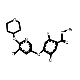 CC(C)(C)OC(=O)c1cc(Cl)c(Oc2cnc(OC3CCOCC3)c(Cl)c2)cc1F